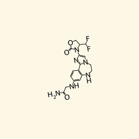 NC(=O)CNc1ccc2c(c1)NCCn1cc(N3C(=O)OCC3C(F)F)nc1-2